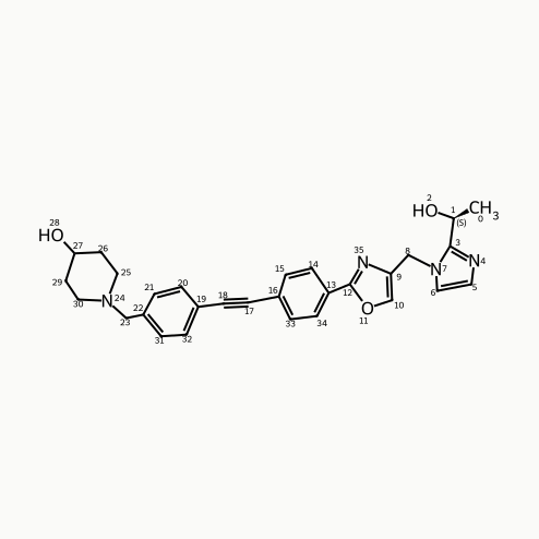 C[C@H](O)c1nccn1Cc1coc(-c2ccc(C#Cc3ccc(CN4CCC(O)CC4)cc3)cc2)n1